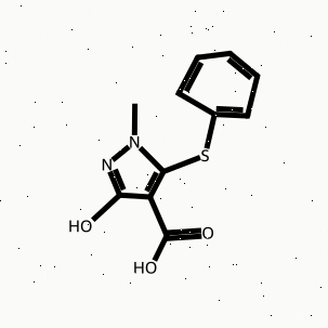 Cn1nc(O)c(C(=O)O)c1Sc1ccccc1